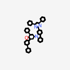 C1=C(c2ccccc2)c2oc3ccc(-c4ccccc4)cc3c2CC1n1c2ccccc2c2ccc(-c3nc(-c4ccccc4)cc(-c4ccccc4)n3)cc21